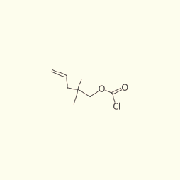 C=CCC(C)(C)COC(=O)Cl